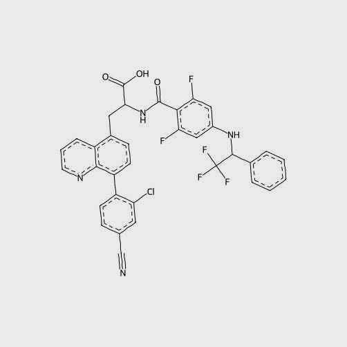 N#Cc1ccc(-c2ccc(CC(NC(=O)c3c(F)cc(NC(c4ccccc4)C(F)(F)F)cc3F)C(=O)O)c3cccnc23)c(Cl)c1